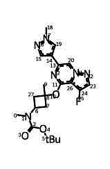 CN(C(=O)OC(C)(C)C)C1CC(C)(Oc2nc(-c3cnn(C)c3)cn3ncc(F)c23)C1